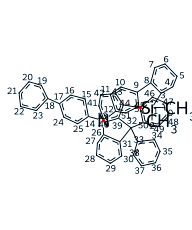 C[Si]1(C)c2ccccc2-c2ccc(N(c3ccc(-c4ccccc4)cc3)c3ccccc3C3(c4ccccc4)c4ccccc4-c4ccccc43)cc21